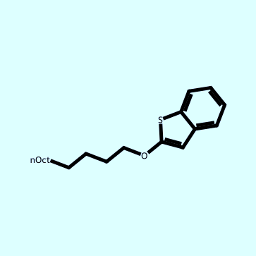 CCCCCCCCCCCCOc1cc2ccccc2s1